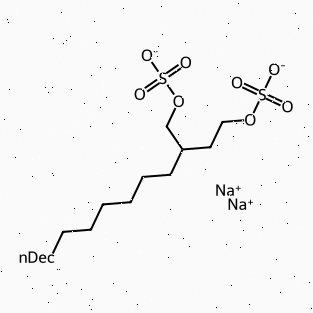 CCCCCCCCCCCCCCCCC(CCOS(=O)(=O)[O-])COS(=O)(=O)[O-].[Na+].[Na+]